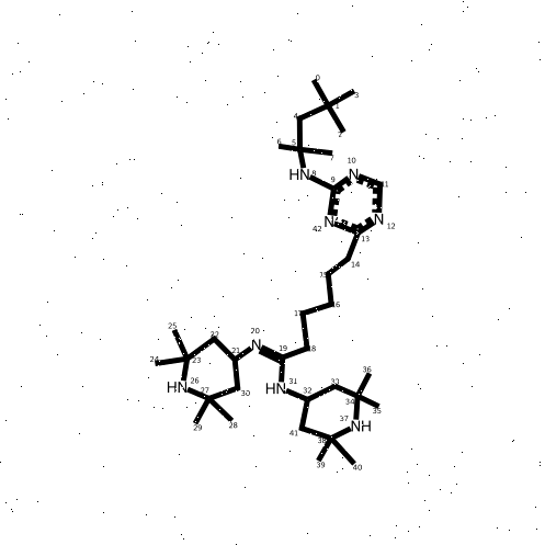 CC(C)(C)CC(C)(C)Nc1ncnc(CCCCCC(=NC2CC(C)(C)NC(C)(C)C2)NC2CC(C)(C)NC(C)(C)C2)n1